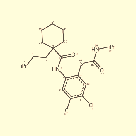 CC(C)CCC1(C(=O)Nc2cc(Cl)c(Cl)cc2SC(=O)NC(C)C)CCCCC1